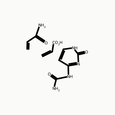 C=CC(=O)O.C=CC(N)=O.NC(=O)Nc1cc[nH]c(=O)n1